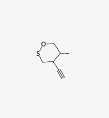 C#CC1CSOCC1C